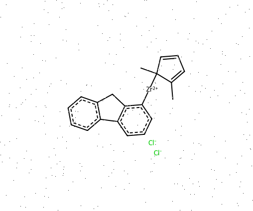 CC1=CC=C[C]1(C)[Zr+2][c]1cccc2c1Cc1ccccc1-2.[Cl-].[Cl-]